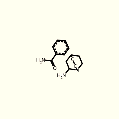 NC(=O)c1ccccc1.NC1CC2CCN1CC2